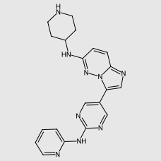 c1ccc(Nc2ncc(-c3cnc4ccc(NC5CCNCC5)nn34)cn2)nc1